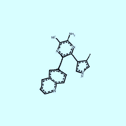 Cc1c[nH]cc1-c1nc(N)c(C#N)nc1-c1ccc2ncccc2c1